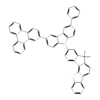 CC1(C)c2cc(-n3c4ccc(-c5ccccc5)cc4c4cc(-c5ccc6c7ccccc7c7ccccc7c6c5)ccc43)ccc2-c2c1ccc1c2oc2ccccc21